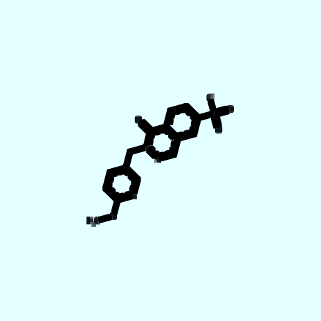 COc1ccc(Cn2ncc3cc(S(=O)(=O)Cl)ccc3c2=O)cn1